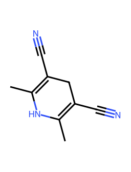 CC1=C(C#N)CC(C#N)=C(C)N1